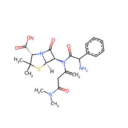 C=C(CC(=O)N(C)C)N(C(=O)C(N)c1ccccc1)[C@@H]1C(=O)N2[C@@H]1SC(C)(C)[C@@H]2C(=O)O